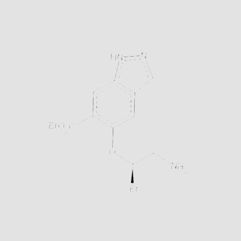 CCOC(=O)c1cc2[nH]ncc2cc1O[C@H](CC)CN